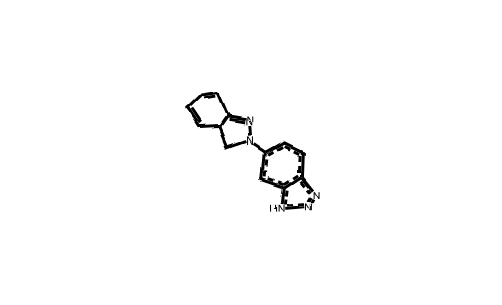 C1=CC2=NN(c3ccc4nn[nH]c4c3)CC2C=C1